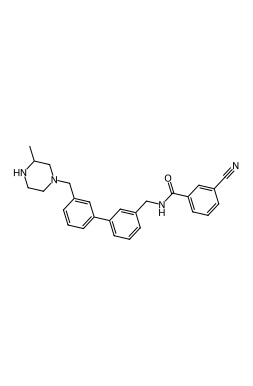 CC1CN(Cc2cccc(-c3cccc(CNC(=O)c4cccc(C#N)c4)c3)c2)CCN1